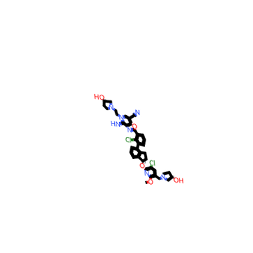 COc1nc(O[C@H]2CCc3c(-c4cccc(-c5nc6c(=N)n(CCN7CC[C@@H](O)C7)cc(C#N)c6o5)c4Cl)cccc32)c(Cl)cc1CN1CC[C@@H](O)C1